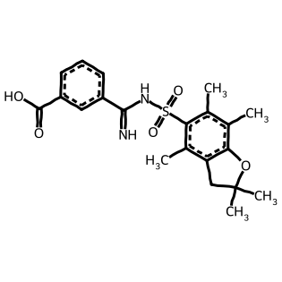 Cc1c(C)c(S(=O)(=O)NC(=N)c2cccc(C(=O)O)c2)c(C)c2c1OC(C)(C)C2